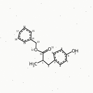 CC(Cc1ccc(O)cc1)C(=O)OCc1ccccc1